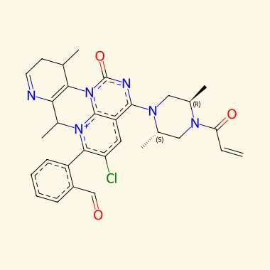 C=CC(=O)N1C[C@H](C)N(c2nc(=O)n3c4c2cc(Cl)c(-c2ccccc2C=O)[n+]4C(C)C2=C3C(C)CC=N2)C[C@H]1C